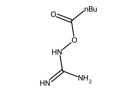 CCCCC(=O)ONC(=N)N